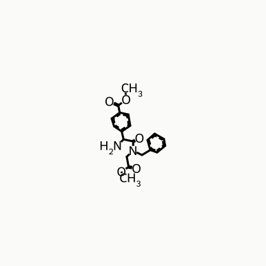 COC(=O)CN(Cc1ccccc1)C(=O)C(N)c1ccc(C(=O)OC)cc1